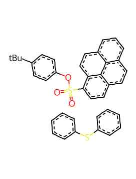 CC(C)(C)c1ccc(OS(=O)(=O)c2ccc3ccc4cccc5ccc2c3c45)cc1.c1ccc(Sc2ccccc2)cc1